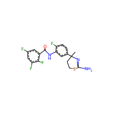 CC1(c2ccc(F)c(NC(=O)c3cc(F)cc(F)c3F)c2)CCSC(N)=N1